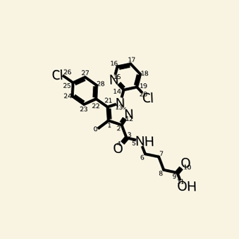 Cc1c(C(=O)NCCCC(=O)O)nn(-c2ncccc2Cl)c1-c1ccc(Cl)cc1